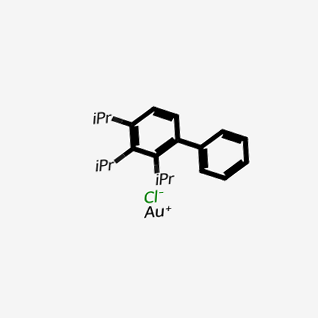 CC(C)c1ccc(-c2ccccc2)c(C(C)C)c1C(C)C.[Au+].[Cl-]